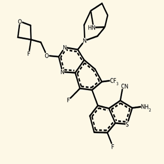 N#Cc1c(N)sc2c(F)ccc(-c3c(C(F)(F)F)cc4c(N5CC6CCC(C5)N6)nc(OCC5(F)COC5)nc4c3F)c12